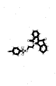 Cc1ccc(S(=O)(=O)OCCn2c3c(c4ccccc4c2=O)C(=O)c2ccccc2-3)cc1